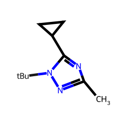 Cc1nc(C2CC2)n(C(C)(C)C)n1